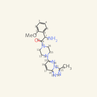 COc1ccccc1C(N)C(=O)N1CCN(c2ccc3nnc(C)n3n2)CC1